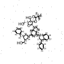 O=C(O[C@@H]1[C@H](O)[C@@H](CO)O[C@H]1n1cnc2c(NCC(c3ccccc3)c3ccccc3)nc(N3C[C@@H](CO)[C@H](Cc4ccccc4)C3)nc21)C(F)(F)F